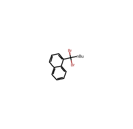 CCCCC(Br)(Br)c1cccc2ccccc12